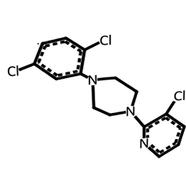 Clc1[c]cc(Cl)c(N2CCN(c3ncccc3Cl)CC2)c1